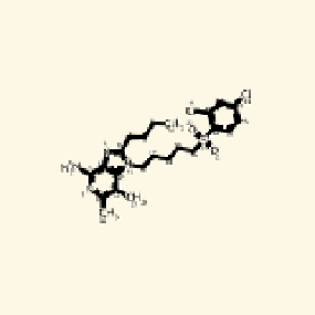 CCCCc1nc2c(N)nc(C)c(C)c2n1CCCCCS(=O)(=O)c1ccc(Cl)cc1Cl